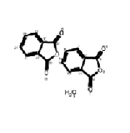 O.O=C1OC(=O)c2ccccc21.O=C1OC(=O)c2ccccc21